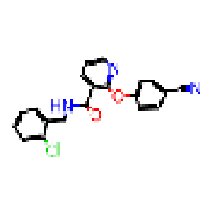 N#Cc1ccc(Oc2ncccc2C(=O)NCc2ccccc2Cl)cc1